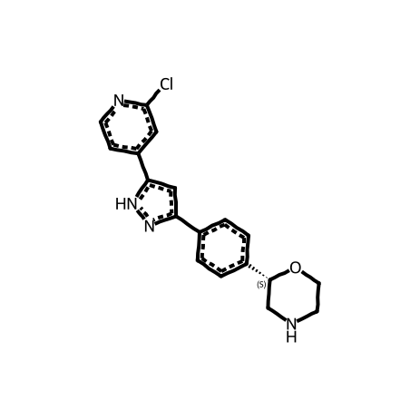 Clc1cc(-c2cc(-c3ccc([C@H]4CNCCO4)cc3)n[nH]2)ccn1